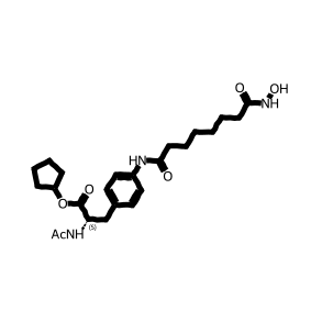 CC(=O)N[C@@H](Cc1ccc(NC(=O)CCCCCCC(=O)NO)cc1)C(=O)OC1CCCC1